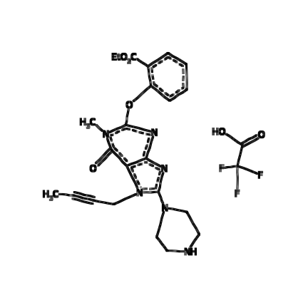 CC#CCn1c(N2CCNCC2)nc2nc(Oc3ccccc3C(=O)OCC)n(C)c(=O)c21.O=C(O)C(F)(F)F